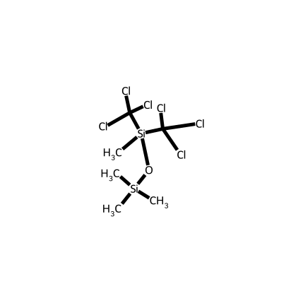 C[Si](C)(C)O[Si](C)(C(Cl)(Cl)Cl)C(Cl)(Cl)Cl